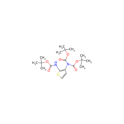 CC(C)(C)OC(=O)Nc1sccc1N(C(=O)OC(C)(C)C)C(=O)OC(C)(C)C